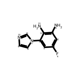 Nc1cc(F)cc(-n2ccnc2)c1N